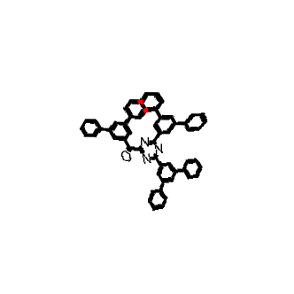 O=C(c1cc(-c2ccccc2)cc(-c2ccccc2)c1)c1nc(-c2cc(-c3ccccc3)cc(-c3ccccc3)c2)nc(-c2cc(-c3ccccc3)cc(-c3ccccc3)c2)n1